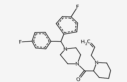 C=CCN1CCCCC1C(=O)N1CCN(C(c2ccc(F)cc2)c2ccc(F)cc2)CC1